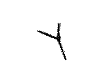 CCCCCCCCCCCCCCCCCCCN1C=CN(CCCCCCCCCCCC)C1CCCCCCCCCCCCCCCCCC